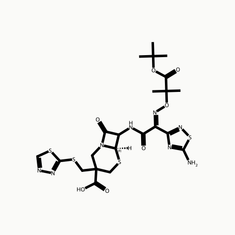 CC(C)(C)OC(=O)C(C)(C)ON=C(C(=O)NC1C(=O)N2CC(CSc3nncs3)(C(=O)O)CS[C@H]12)c1nsc(N)n1